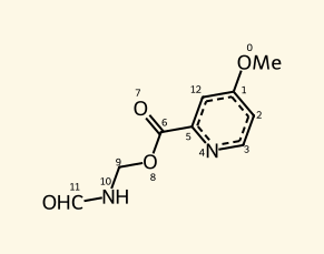 COc1ccnc(C(=O)OCNC=O)c1